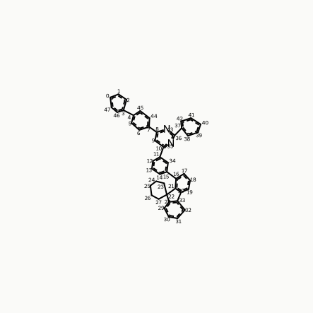 c1ccc(-c2ccc(-c3cc(-c4cccc(-c5cccc6c5C5(CCCCC5)c5ccccc5-6)c4)nc(-c4ccccc4)n3)cc2)cc1